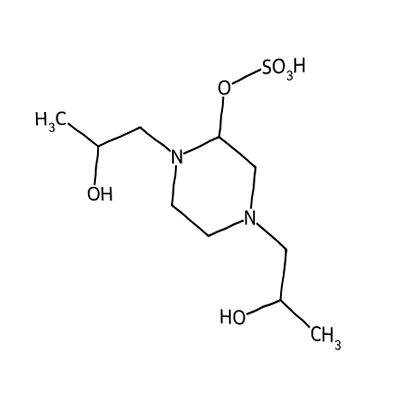 CC(O)CN1CCN(CC(C)O)C(OS(=O)(=O)O)C1